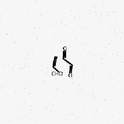 C=CC=O.O=CC=O